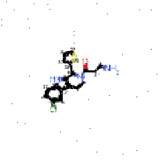 NCCC(=O)N1CCc2c([nH]c3ccc(Cl)cc23)C1c1cccs1